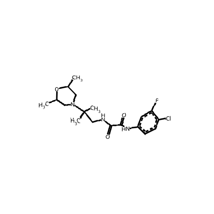 CC1CN(C(C)(C)CNC(=O)C(=O)Nc2ccc(Cl)c(F)c2)CC(C)O1